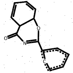 O=C1N=C(c2ccccc2)OC2C=CC=CC12